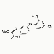 COC(=O)C(C)Oc1ccc(Nc2ccc(C#N)cc2[N+](=O)[O-])cc1